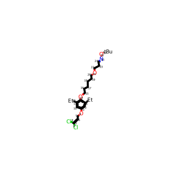 CCc1cc(OCC=C(Cl)Cl)cc(CC)c1OCCCCCCOCCC=NOC(C)(C)C